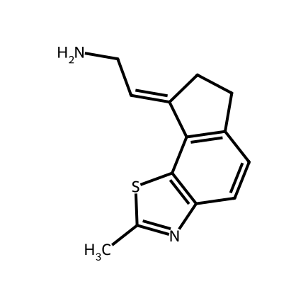 Cc1nc2ccc3c(c2s1)C(=CCN)CC3